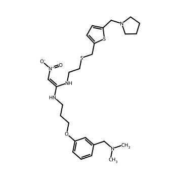 CN(C)Cc1cccc(OCCCNC(=C[N+](=O)[O-])NCCSCc2ccc(CN3CCCC3)s2)c1